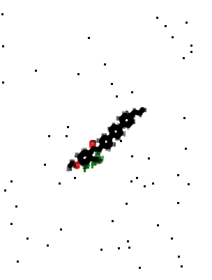 CCCc1ccc(-c2ccc(-c3ccc(CC(=O)c4ccc(OCC)c(F)c4C(F)(F)F)cc3)cc2)cc1